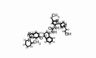 CCc1cc(NC(=O)N[C@H]2CC[C@@H](Oc3ccc4nnc(N5CCCC[C@@H]5C)n4c3)c3ccccc32)n(-c2cnn(CCO)c2)n1